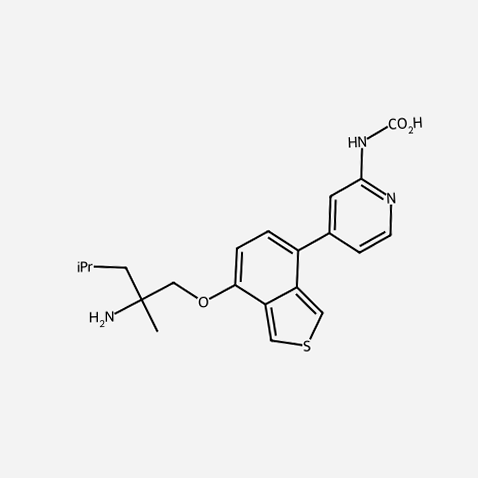 CC(C)CC(C)(N)COc1ccc(-c2ccnc(NC(=O)O)c2)c2cscc12